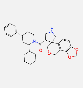 O=C([C@@H]1CNC[C@]12COCc1c2ccc2c1OCO2)N1CC[C@@H](c2ccccc2)C[C@H]1C1CCCCC1